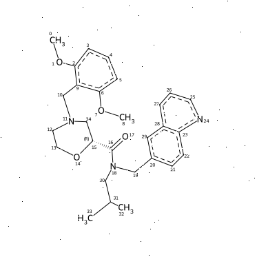 COc1cccc(OC)c1CN1CCO[C@@H](C(=O)N(Cc2ccc3ncccc3c2)CC(C)C)C1